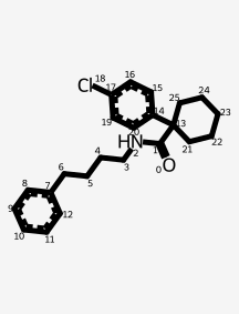 O=C(NCCCCc1ccccc1)C1(c2ccc(Cl)cc2)CCCCC1